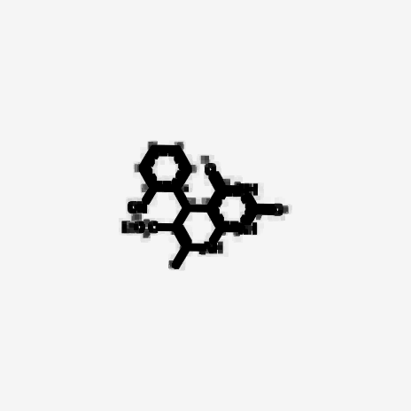 CCOC(=O)C1=C(C)Nc2[nH]c(=O)[nH]c(=O)c2C1c1ccccc1N=O